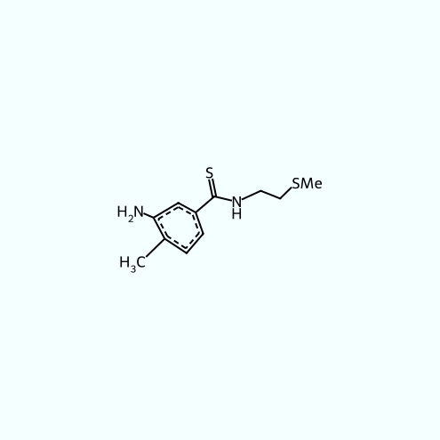 CSCCNC(=S)c1ccc(C)c(N)c1